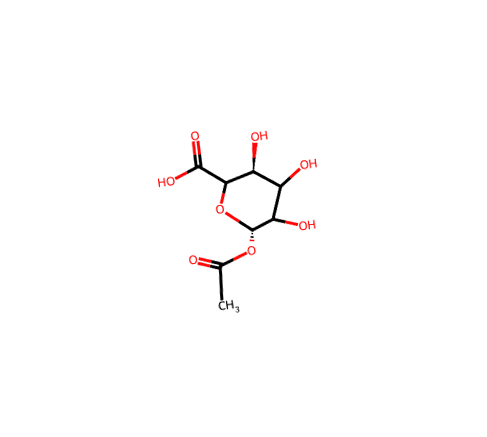 CC(=O)O[C@@H]1OC(C(=O)O)[C@@H](O)C(O)C1O